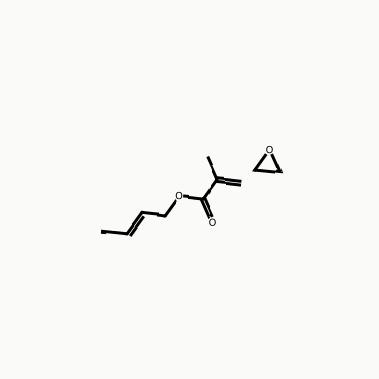 C1CO1.C=C(C)C(=O)OCC=CC